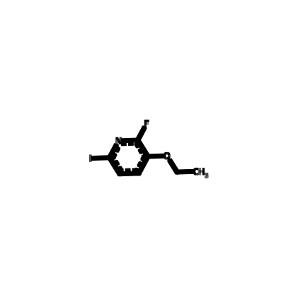 CCOc1ccc(I)nc1F